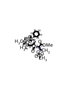 COC(=O)/C(=C(\C)OS(C)(=O)=O)N1C(=O)[C@H]([C@@H](C)O[Si](C)(C)C(C)(C)C)[C@H]1SS(=O)(=O)c1ccccc1